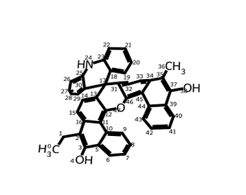 CCc1c(O)c2ccccc2c2c3c(ccc12)C1(c2ccccc2Nc2ccccc21)c1ccc2c(C)c(O)c4ccccc4c2c1O3